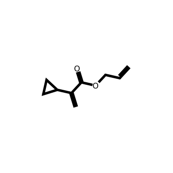 C=CCOC(=O)C(=C)C1CC1